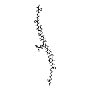 C=CC(=O)OCCCCOC(=O)CCc1ccc(OC(=O)[C@H]2CC[C@H](C(=O)Oc3ccc(OC(=O)[C@H]4CC[C@H](C(=O)Oc5ccc(CCC(=O)OCCCCOC(=O)C=C)cc5)CC4)c4c3SC(=C(C#N)C#N)S4)CC2)cc1